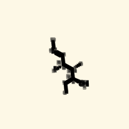 CC[C@H](O)[C@@H](C)[C@H](F)C=NC